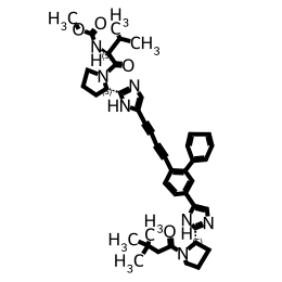 COC(=O)N[C@H](C(=O)N1CCC[C@H]1c1ncc(C#CC#Cc2ccc(-c3cnc([C@@H]4CCCN4C(=O)CC(C)(C)C)[nH]3)cc2-c2ccccc2)[nH]1)C(C)C